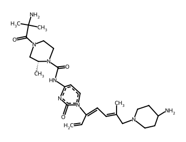 C=C/C(=C\C=C(/C)CN1CCC(N)CC1)n1ccc(NC(=O)N2CCN(C(=O)C(C)(C)N)C[C@H]2C)nc1=O